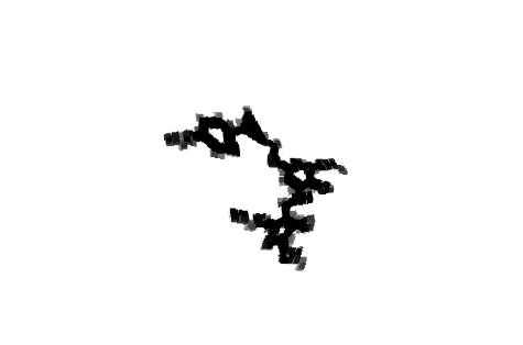 Cc1ccc([C@H]2C[C@@H]2COc2cc(NCc3c(Cl)c(C)nn3C)c(=O)n(C)n2)nc1